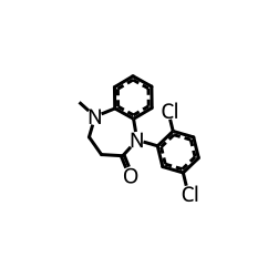 CN1CCC(=O)N(c2cc(Cl)ccc2Cl)c2ccccc21